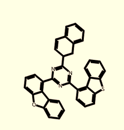 C1=CC(c2nc(-c3cccc4oc5ccccc5c34)nc(-c3cccc4sc5ccccc5c34)n2)Cc2ccccc21